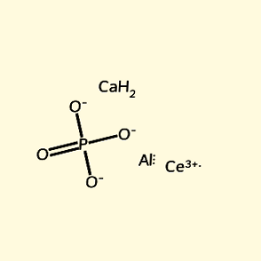 O=P([O-])([O-])[O-].[Al].[CaH2].[Ce+3]